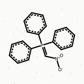 O=[N+]([O-])C=P(c1ccccc1)(c1ccccc1)c1ccccc1